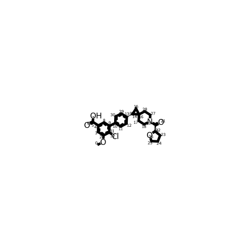 COc1cc(C(=O)O)cc(-c2ccc([C@@H]3CC34CCN(C(=O)[C@H]3CCCO3)CC4)cc2)c1Cl